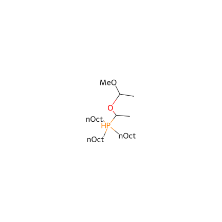 CCCCCCCC[PH](CCCCCCCC)(CCCCCCCC)C(C)OC(C)OC